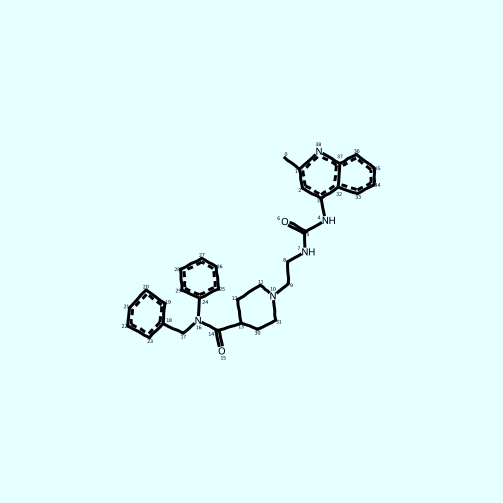 Cc1cc(NC(=O)NCCN2CCC(C(=O)N(Cc3ccccc3)c3ccccc3)CC2)c2ccccc2n1